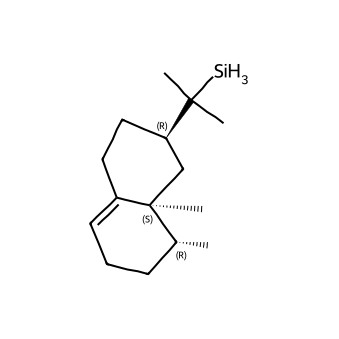 C[C@@H]1CCC=C2CC[C@@H](C(C)(C)[SiH3])C[C@]21C